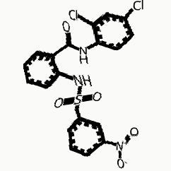 O=C(Nc1ccc(Cl)cc1Cl)c1ccccc1NS(=O)(=O)c1cccc([N+](=O)[O-])c1